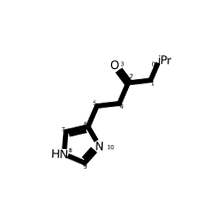 CC(C)CC(=O)CCc1c[nH]cn1